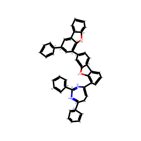 C1=C(c2cccc3c2oc2cc(-c4cc(-c5ccccc5)cc5c4oc4ccccc45)ccc23)N=C(c2ccccc2)N=C(c2ccccc2)C1